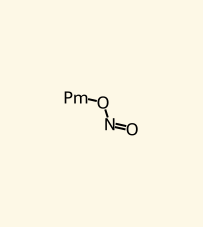 O=N[O][Pm]